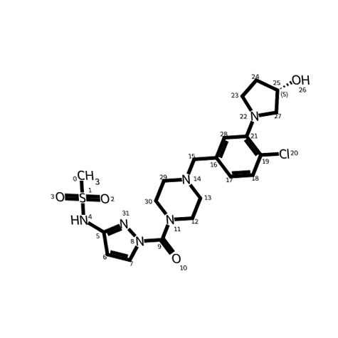 CS(=O)(=O)Nc1ccn(C(=O)N2CCN(Cc3ccc(Cl)c(N4CC[C@H](O)C4)c3)CC2)n1